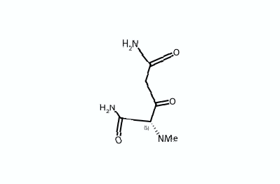 CN[C@H](C(N)=O)C(=O)CC(N)=O